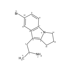 CC(N)Cc1c2n(c3ccc(Br)cc13)CCC2